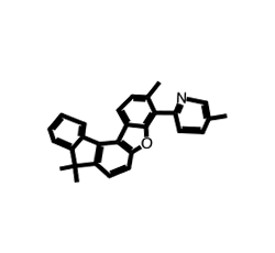 Cc1ccc(-c2c(C)ccc3c2oc2ccc4c(c23)-c2ccccc2C4(C)C)nc1